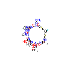 COc1ccc(C[C@@H]2NC(=O)[C@@H]([C@H](C)O)NC(=O)[C@@H]3C[C@H](O)CN3C(=O)[C@H](Cc3c[nH]c4c3CC=C4)NC(=O)[C@H](Cc3c[nH]c4ccc(F)cc34)NC(=O)[C@@H](C)NC(=O)[C@H](CCCCN)NC(=O)CCSCc3cc(F)cc(c3)CSCCNC(=O)[C@]3(C)CCCN3C2=O)cc1